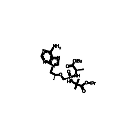 CC(C)COC(=O)[C@@H](C)N[P@](=O)(CO[C@H](C)Cn1cnc2c(N)ncnc21)NC(C)(C)C(=O)OC(C)C